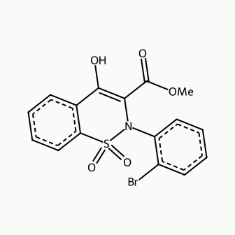 COC(=O)C1=C(O)c2ccccc2S(=O)(=O)N1c1ccccc1Br